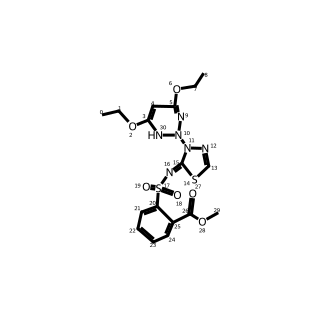 CCOC1=CC(OCC)=NN(n2ncsc2=NS(=O)(=O)c2ccccc2C(=O)OC)N1